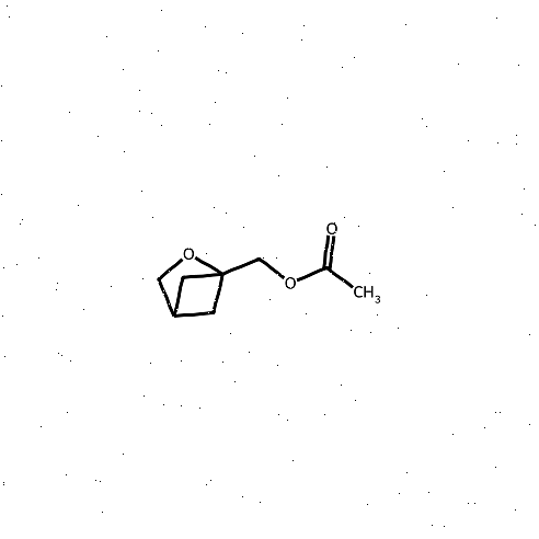 CC(=O)OCC12CC(CO1)C2